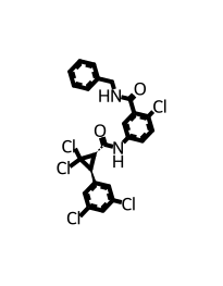 O=C(NCc1ccccc1)c1cc(NC(=O)[C@@H]2[C@@H](c3cc(Cl)cc(Cl)c3)C2(Cl)Cl)ccc1Cl